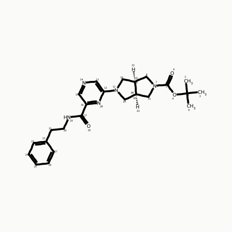 CC(C)(C)OC(=O)N1C[C@@H]2CN(c3cncc(C(=O)NCCc4ccccc4)n3)C[C@@H]2C1